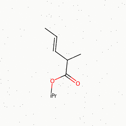 CC=CC(C)C(=O)OC(C)C